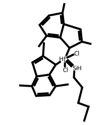 CCCCC[SiH]=[Hf]([Cl])([Cl])([CH]1C(C)=Cc2c(C)ccc(C)c21)[CH]1C(C)=Cc2c(C)ccc(C)c21